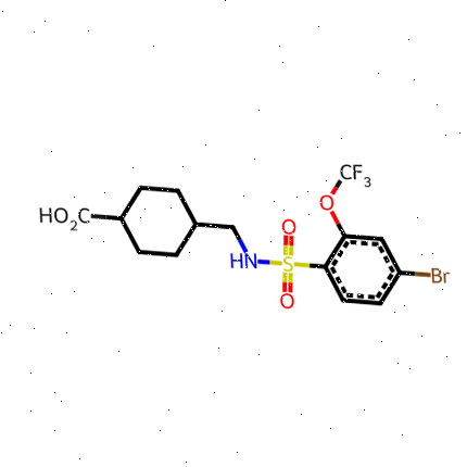 O=C(O)C1CCC(CNS(=O)(=O)c2ccc(Br)cc2OC(F)(F)F)CC1